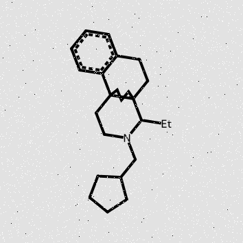 CCC1N(CC2CCCC2)CCC23CCCC12CCc1ccccc13